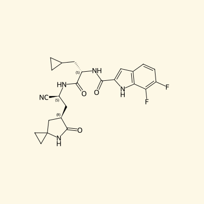 N#C[C@H](C[C@@H]1CC2(CC2)NC1=O)NC(=O)[C@H](CC1CC1)NC(=O)c1cc2ccc(F)c(F)c2[nH]1